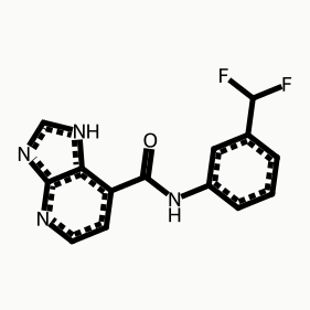 O=C(Nc1cccc(C(F)F)c1)c1ccnc2nc[nH]c12